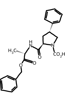 C[C@H](NC(=O)[C@H]1C[C@H](c2ccccc2)CN1C(=O)O)C(=O)OCc1ccccc1